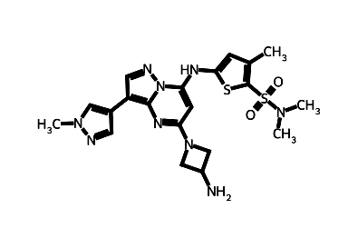 Cc1cc(Nc2cc(N3CC(N)C3)nc3c(-c4cnn(C)c4)cnn23)sc1S(=O)(=O)N(C)C